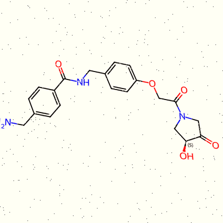 NCc1ccc(C(=O)NCc2ccc(OCC(=O)N3CC(=O)[C@@H](O)C3)cc2)cc1